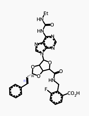 CCNC(=O)Nc1ncnc2c1ncn2C1OC(C(=O)NCc2c(F)cccc2C(=O)O)C2O[C@H](/C=C/c3ccccc3)OC21